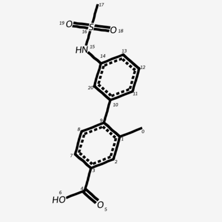 Cc1cc(C(=O)O)ccc1-c1cccc(NS(C)(=O)=O)c1